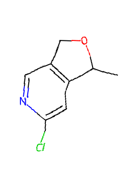 CC1OCc2cnc(Cl)cc21